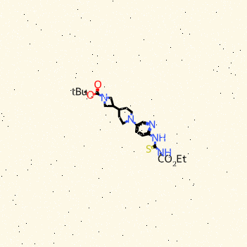 CCOC(=O)NC(=S)Nc1ccc(N2CCC(C3CN(C(=O)OC(C)(C)C)C3)CC2)cn1